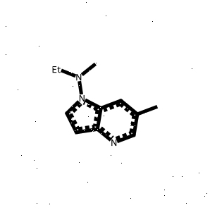 CCN(C)n1ccc2ncc(C)cc21